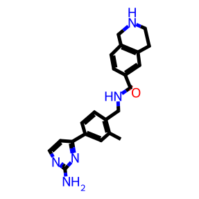 Cc1cc(-c2ccnc(N)n2)ccc1CNC(=O)c1ccc2c(c1)CCNC2